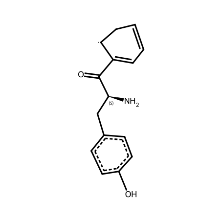 N[C@@H](Cc1ccc(O)cc1)C(=O)C1=CC=CC[CH]1